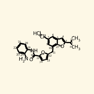 CC(C)c1cc2cc(Cl)cc(Cc3ccc(C(=O)Nc4ccccc4N)o3)c2o1.Cl